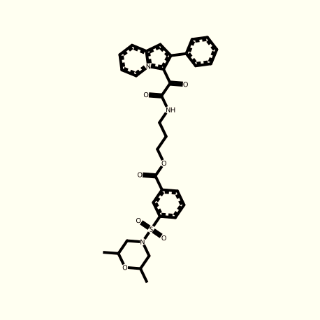 CC1CN(S(=O)(=O)c2cccc(C(=O)OCCCNC(=O)C(=O)c3c(-c4ccccc4)cc4ccccn34)c2)CC(C)O1